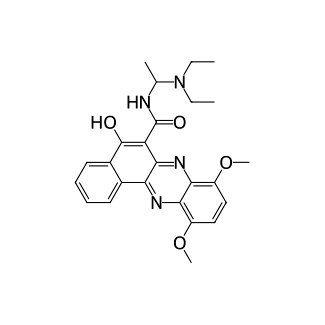 CCN(CC)C(C)NC(=O)c1c(O)c2ccccc2c2nc3c(OC)ccc(OC)c3nc12